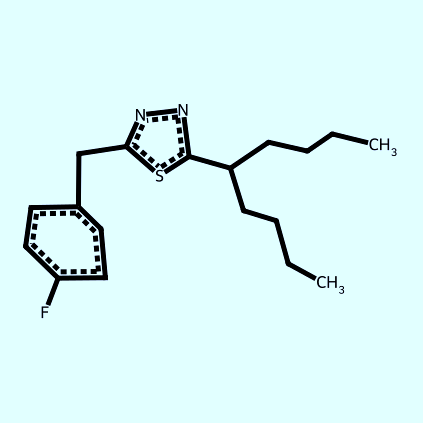 CCCCC(CCCC)c1nnc(Cc2ccc(F)cc2)s1